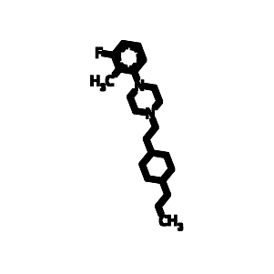 CCCC1CCC(CCN2CCN(c3cccc(F)c3C)CC2)CC1